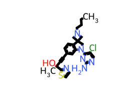 CCCCN1CC2(C1)CN(c1nc(N)ncc1Cl)c1cc(C#C[C@@](C)(O)c3nccs3)ccc12